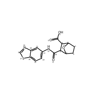 O=C(O)C1C2CCC(O2)C1C(=O)Nc1ccc2scnc2c1